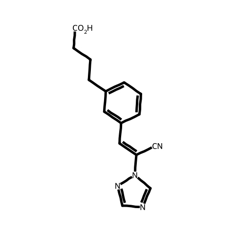 N#C/C(=C\c1cccc(CCCC(=O)O)c1)n1cncn1